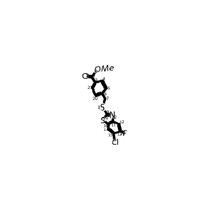 COC(=O)c1ccc(CSc2nc3cc(F)c(Cl)cc3s2)cc1